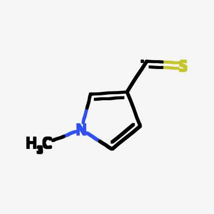 Cn1ccc([C]=S)c1